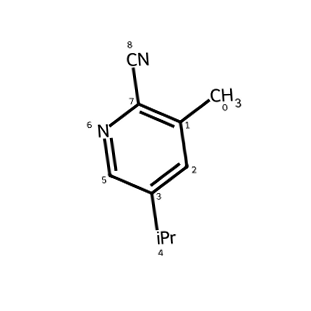 Cc1cc(C(C)C)cnc1C#N